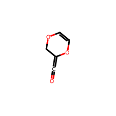 O=C=C1COC=CO1